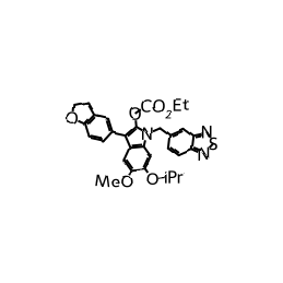 CCOC(=O)Oc1c(-c2ccc3c(c2)CCO3)c2cc(OC)c(OC(C)C)cc2n1Cc1ccc2nsnc2c1